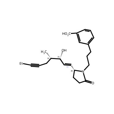 CCC#CC[C@H](C)[C@H](O)/C=C/[C@H]1CCC(=O)N1CCCc1cccc(C(=O)O)c1